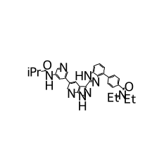 CCN(CC)C(=O)c1ccc(-c2cccc3[nH]c(-c4n[nH]c5ncc(-c6cncc(NC(=O)C(C)C)c6)cc45)nc23)cc1